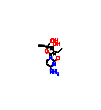 C#C[C@]1(CO)O[C@@H](n2ccc(N)nc2=O)[C@H](CC)[C@@H]1O